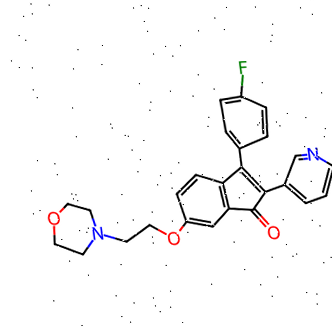 O=C1C(c2cccnc2)=C(c2ccc(F)cc2)c2ccc(OCCN3CCOCC3)cc21